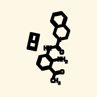 CC(=O)c1cccc(NC(=O)N2CCc3ccccc3C2)c1N.c1cc2ccc1-2